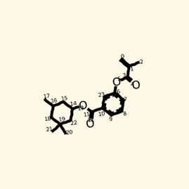 C=C(C)C(=O)Oc1cccc(C(=O)OC2CC(C)CC(C)(C)C2)c1